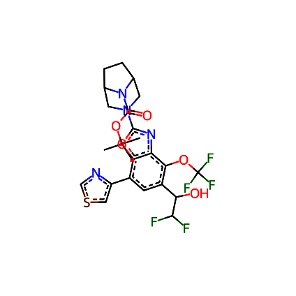 CC(C)(C)OC(=O)N1C2CCC1CN(c1nc3c(OC(F)(F)F)c(C(O)C(F)F)cc(-c4cscn4)c3o1)C2